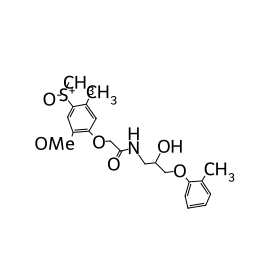 COc1cc([S+](C)[O-])c(C)cc1OCC(=O)NCC(O)COc1ccccc1C